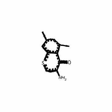 Cc1cc(C)c2c(=O)c(N)csc2c1